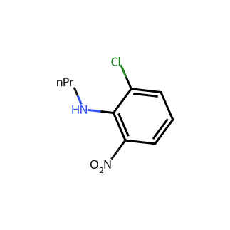 CCCNc1c(Cl)cccc1[N+](=O)[O-]